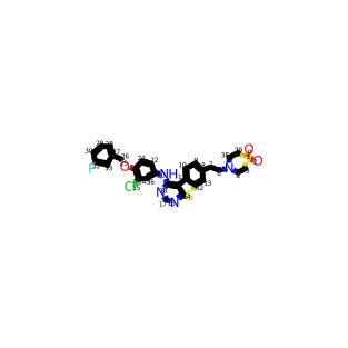 O=S1(=O)CCN(CCc2ccc3c(c2)sc2ncnc(Nc4ccc(OCc5cccc(F)c5)c(Cl)c4)c23)CC1